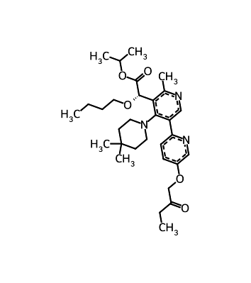 CCCCO[C@H](C(=O)OC(C)C)c1c(C)ncc(-c2ccc(OCC(=O)CC)cn2)c1N1CCC(C)(C)CC1